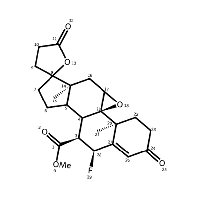 COC(=O)[C@H]1C2C3CCC4(CCC(=O)O4)[C@@]3(C)CC3O[C@]32[C@@]2(C)CCC(=O)C=C2[C@H]1F